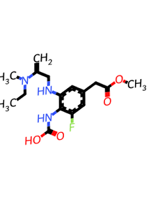 C=C(CNc1cc(CC(=O)OC)cc(F)c1NC(=O)O)N(C)CC